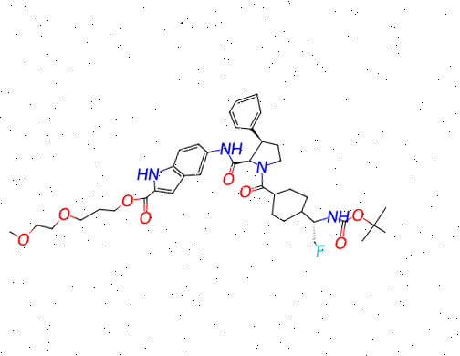 COCCOCCCOC(=O)c1cc2cc(NC(=O)[C@H]3[C@@H](c4ccccc4)CCN3C(=O)C3CCC([C@@H](CF)NC(=O)OC(C)(C)C)CC3)ccc2[nH]1